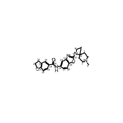 CN1CCC2(CC1)CCN2c1nc2cc(NC(=O)c3ccc4c(c3)CCO4)ccc2o1